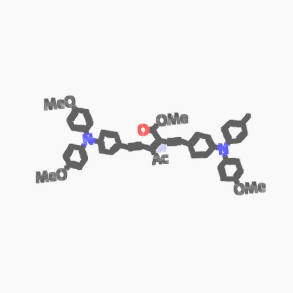 COC(=O)/C(C#Cc1ccc(N(c2ccc(C)cc2)c2ccc(OC)cc2)cc1)=C(\C#Cc1ccc(N(c2ccc(OC)cc2)c2ccc(OC)cc2)cc1)C(C)=O